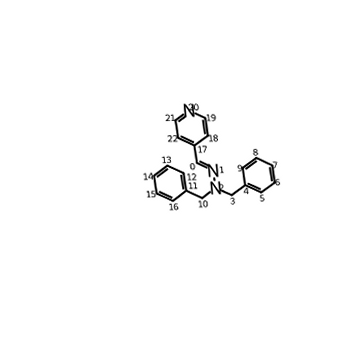 C(=NN(Cc1ccccc1)Cc1ccccc1)c1ccncc1